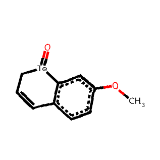 COc1ccc2c(c1)[Te](=O)CC=C2